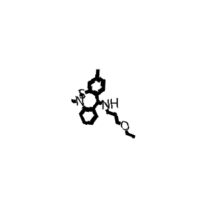 CCOCCCNC1C2=C(CCC=C2)N(C)Sc2cc(C)ccc21